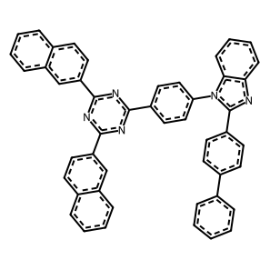 c1ccc(-c2ccc(-c3nc4ccccc4n3-c3ccc(-c4nc(-c5ccc6ccccc6c5)nc(-c5ccc6ccccc6c5)n4)cc3)cc2)cc1